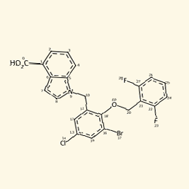 O=C(O)c1cccc2c1ccn2Cc1cc(Cl)cc(Br)c1OCc1c(F)cccc1F